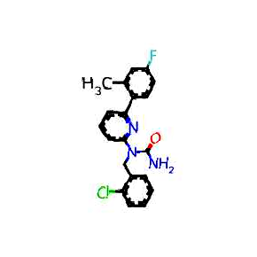 Cc1cc(F)ccc1-c1cccc(N(Cc2ccccc2Cl)C(N)=O)n1